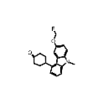 Cn1c2ccc(OCF)cc2c2c(C3CCC(=O)CC3)cccc21